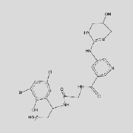 O=C(O)CC(NC(=O)CNC(=O)c1cncc(NC2=NCC(O)CN2)c1)c1cc(Cl)cc(Br)c1O